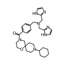 O=C(c1ccc(CN(Cc2ncc[nH]2)Cc2ncc[nH]2)cc1)N1CCOC2(CCN(C3CCCCC3)CC2)C1